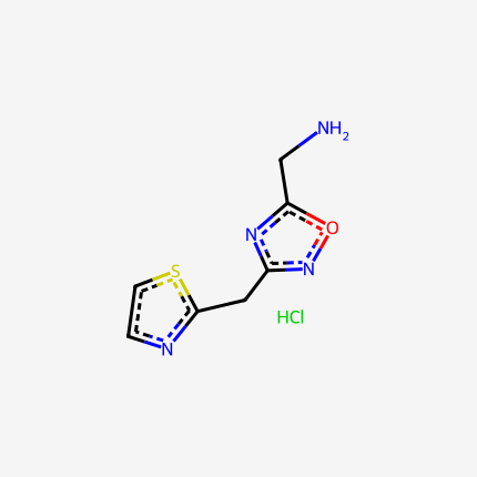 Cl.NCc1nc(Cc2nccs2)no1